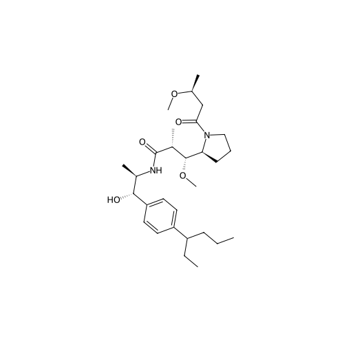 CCCC(CC)c1ccc([C@H](O)[C@@H](C)NC(=O)[C@H](C)[C@@H](OC)[C@@H]2CCCN2C(=O)C[C@H](C)OC)cc1